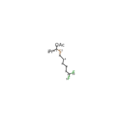 CC(=O)OC(SCCCCCC(F)F)C(C)C